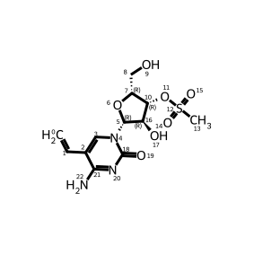 C=Cc1cn([C@@H]2O[C@H](CO)[C@H](OS(C)(=O)=O)[C@H]2O)c(=O)nc1N